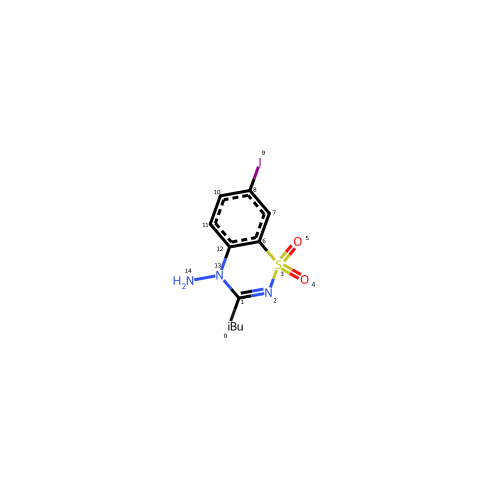 CCC(C)C1=NS(=O)(=O)c2cc(I)ccc2N1N